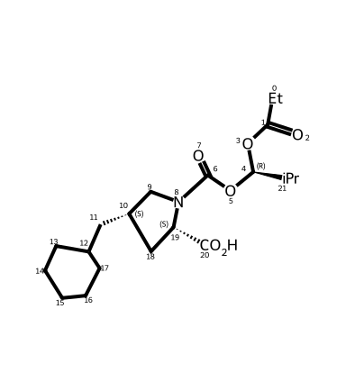 CCC(=O)O[C@H](OC(=O)N1C[C@@H](CC2CCCCC2)C[C@H]1C(=O)O)C(C)C